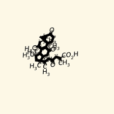 CC1C[C@@]23CC2(C)C(=O)CC[C@]3(C)C2=C1[C@]1(C)[C@@H](C)C[C@](C)(C(C)CC(=O)C[C@@H](C)C(=O)O)[C@@]1(C)CC2=O